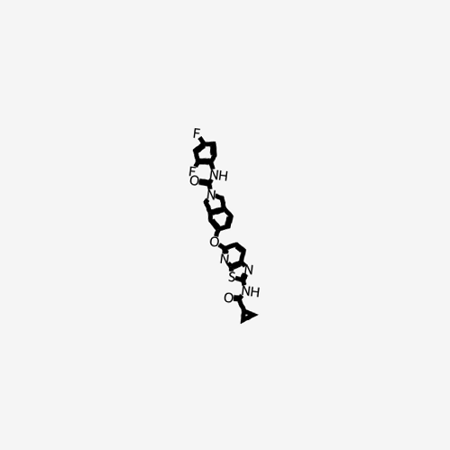 O=C(Nc1nc2ccc(Oc3ccc4c(c3)CN(C(=O)Nc3ccc(F)cc3F)C4)nc2s1)C1CC1